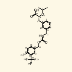 CC(C)O[C@@H](Cc1cccc(CNC(=O)OCc2ccc(F)c(C(F)(F)F)c2)c1)C(=O)O